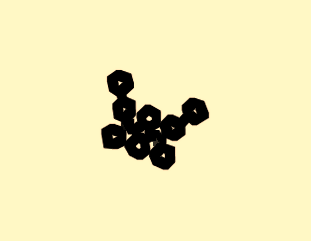 c1ccc(-c2ccc(N(c3ccccc3)c3c4c(c(N(c5ccccc5)c5ccc(-c6ccccc6)cc5)c5c3CCCC5)CCCC4)cc2)cc1